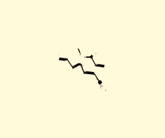 C=CC(=O)OC.C=CC=CC=CC#N